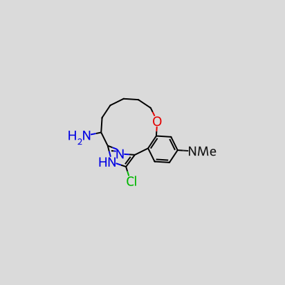 CNc1ccc2c(c1)OCCCCCC(N)c1nc-2c(Cl)[nH]1